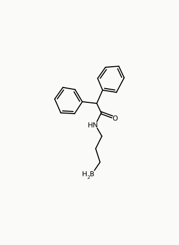 BCCCNC(=O)C(c1ccccc1)c1ccccc1